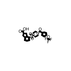 O=C(O)C1Cc2cccc(S(=O)(=O)N3CCN(C(=O)c4ccc(OC(F)(F)F)cc4)CC3)c2C1